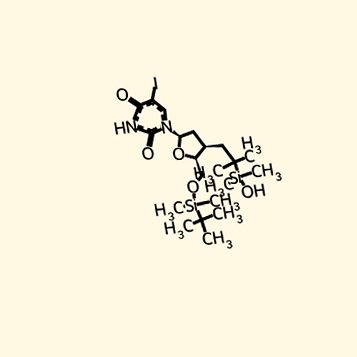 CC(C)(C[C@@H]1C[C@H](n2cc(I)c(=O)[nH]c2=O)O[C@@H]1CO[Si](C)(C)C(C)(C)C)[Si](C)(C)O